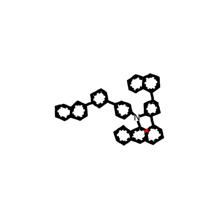 c1ccc(-c2ccc(-c3cccc4ccccc34)cc2N(c2ccc(-c3cccc(-c4ccc5ccccc5c4)c3)cc2)c2cccc3ccccc23)cc1